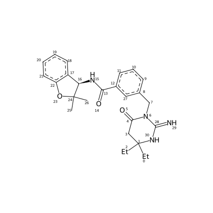 CCC1(CC)CC(=O)N(Cc2cccc(C(=O)N[C@@H]3c4ccccc4OC3(C)C)c2)C(=N)N1